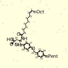 CCCCCCCC/C=C\CCCCCCCC(=O)N[C@H](Cc1ccc(OCc2ccc(CCCCC)cc2)cc1)CP(=O)(O)O